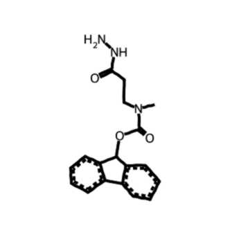 CN(CCC(=O)NN)C(=O)OC1c2ccccc2-c2ccccc21